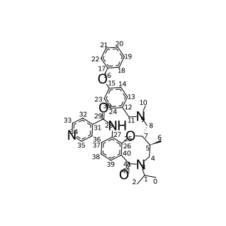 CC(C)N1C[C@H](C)[C@@H](CN(C)Cc2ccc(Oc3ccccc3)cc2)Oc2c(NC(=O)c3ccncc3)cccc2C1=O